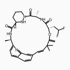 C=C1O[C@@H](CC(F)F)C(=O)N[C@@H](C)C(=O)N2CCC[C@H](N2)C(=O)N[C@H](C)c2ccc3ccc(cc3n2)/C=C/C1(C)C